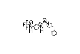 O=C(c1cc2cc(NC(=O)C(F)(F)F)ccc2[nH]1)N1CCC(Cc2ccccc2)CC1